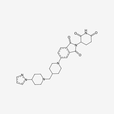 O=C1CCC(N2C(=O)c3ccc(N4CCC(CN5CCC(n6cccn6)CC5)CC4)cc3C2=O)C(=O)N1